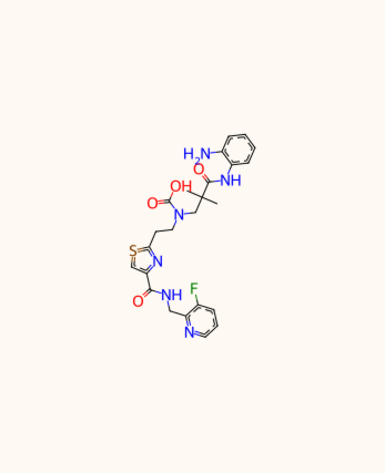 CC(C)(CN(CCc1nc(C(=O)NCc2ncccc2F)cs1)C(=O)O)C(=O)Nc1ccccc1N